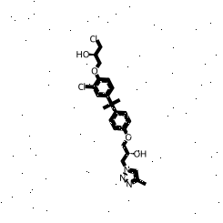 Cc1cn(C[C@@H](O)COc2ccc(C(C)(C)c3ccc(OC[C@@H](O)CCl)c(Cl)c3)cc2)nn1